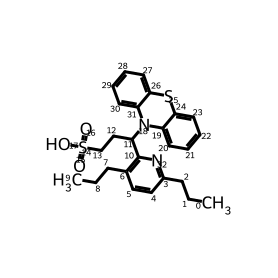 CCCc1ccc(CCC)c(C(CCS(=O)(=O)O)N2c3ccccc3Sc3ccccc32)n1